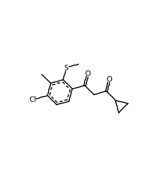 CSc1c(C(=O)CC(=O)C2CC2)ccc(Cl)c1C